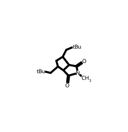 CN1C(=O)C2C(CC(C)(C)C)CC(CC(C)(C)C)C2C1=O